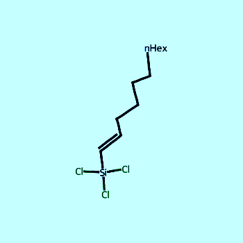 CCCCCCCCCCC=C[Si](Cl)(Cl)Cl